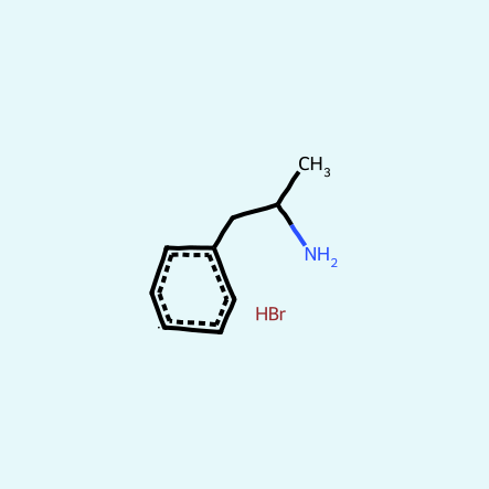 Br.CC(N)Cc1cc[c]cc1